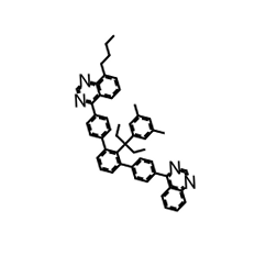 CCCCc1cccc2c(-c3ccc(-c4cccc(-c5ccc(-c6ncnc7ccccc67)cc5)c4C(CC)(CC)c4cc(C)cc(C)c4)cc3)ncnc12